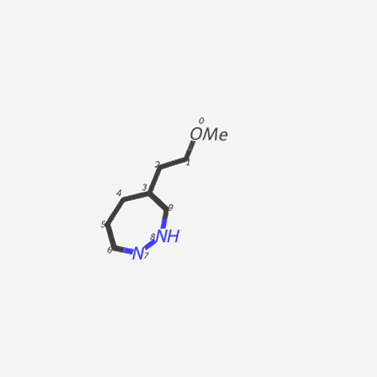 COCCC1CCC[N]NC1